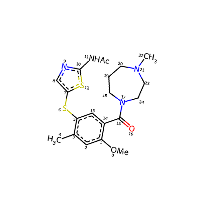 COc1cc(C)c(Sc2cnc(NC(C)=O)s2)cc1C(=O)N1CCCN(C)CC1